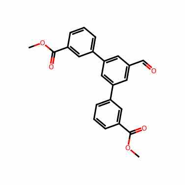 COC(=O)c1cccc(-c2cc(C=O)cc(-c3cccc(C(=O)OC)c3)c2)c1